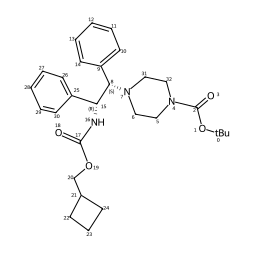 CC(C)(C)OC(=O)N1CCN([C@@H](c2ccccc2)[C@H](NC(=O)OCC2CCC2)c2ccccc2)CC1